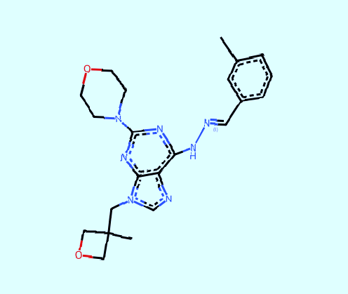 Cc1cccc(/C=N/Nc2nc(N3CCOCC3)nc3c2ncn3CC2(C)COC2)c1